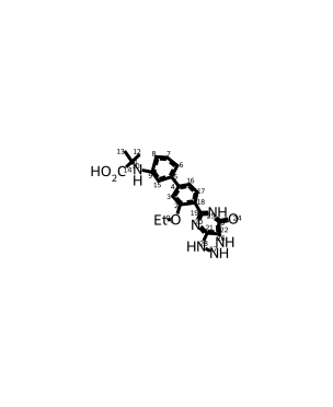 CCOc1cc(-c2cccc(NC(C)(C)C(=O)O)c2)ccc1-c1nc2c(c(=O)[nH]1)NNN2